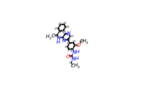 CCNC(=O)Nc1ccc(-c2cncc(N[C@@H](C)c3ccccc3)n2)cc1OC